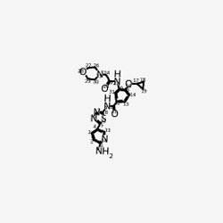 Nc1ccc(-c2nnc(NC(=O)c3ccc(OC4CC4)c(NC(=O)CN4CCOCC4)c3)s2)cn1